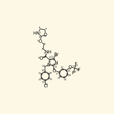 O=C(NCCOC1NCCO1)c1c(Br)nc(Oc2cccc(OC(F)(F)F)c2)n1Cc1ccc(Cl)cc1